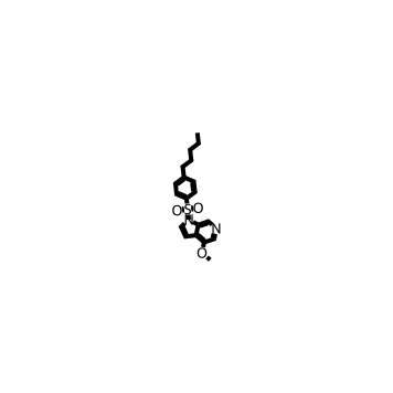 CCCCCc1ccc(S(=O)(=O)n2ccc3c(OC)cncc32)cc1